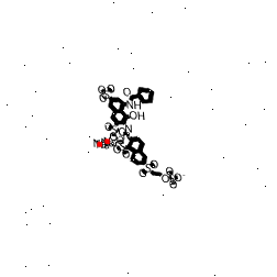 O=C(Nc1cc(S(=O)(=O)[O-])cc2cc(S(=O)(=O)[O-])c(N=Nc3ccc4cc(S(=O)(=O)CCOS(=O)(=O)[O-])ccc4c3S(=O)(=O)[O-])c(O)c12)c1ccccc1.[Na+].[Na+].[Na+].[Na+]